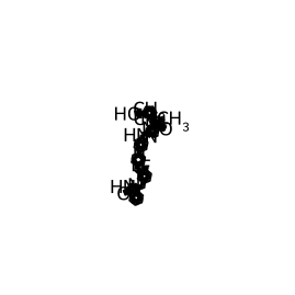 Cn1c(=O)c2cnc(Nc3ccc(N4CCN(Cc5cc(Cc6n[nH]c(=O)c7ccccc67)ccc5F)CC4)cc3)nc2n1-c1cccc(C(C)(C)O)n1